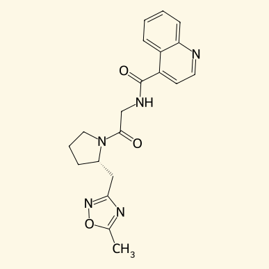 Cc1nc(C[C@@H]2CCCN2C(=O)CNC(=O)c2ccnc3ccccc23)no1